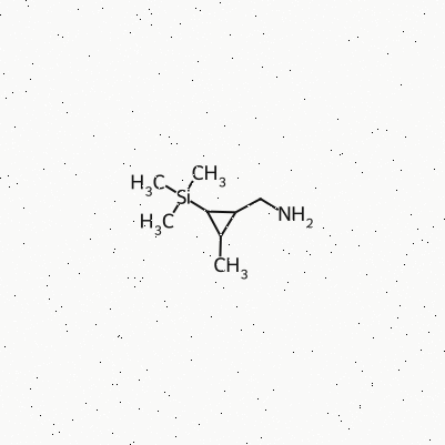 CC1C(CN)C1[Si](C)(C)C